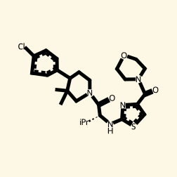 CC(C)[C@@H](Nc1nc(C(=O)N2CCOCC2)cs1)C(=O)N1CCC(c2ccc(Cl)cc2)C(C)(C)C1